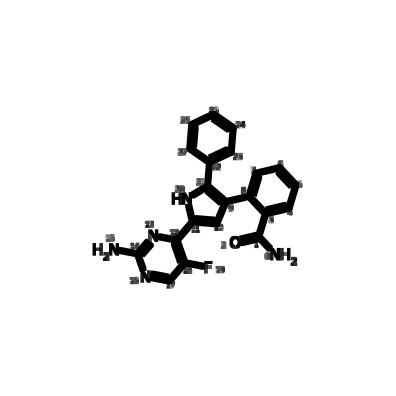 NC(=O)c1ccccc1-c1cc(-c2nc(N)ncc2F)[nH]c1-c1ccccc1